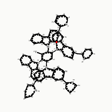 Fc1c(-n2c3ccccc3c3ccccc32)c(-n2c3ccc(-c4ccccn4)cc3c3cc(-c4ccccn4)ccc32)cc(-n2c3ccc(-c4ccccn4)cc3c3cc(-c4ccccn4)ccc32)c1-n1c2ccccc2c2ccccc21